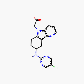 CN(c1ncc(Cl)cn1)C1CCc2c(c3ncccc3n2CC(=O)O)C1